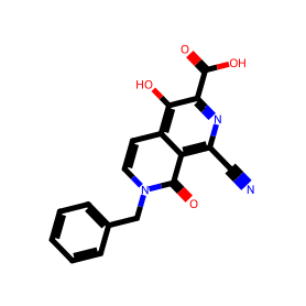 N#Cc1nc(C(=O)O)c(O)c2ccn(Cc3ccccc3)c(=O)c12